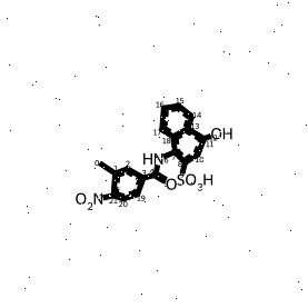 Cc1cc(C(=O)Nc2c(S(=O)(=O)O)cc(O)c3ccccc23)ccc1[N+](=O)[O-]